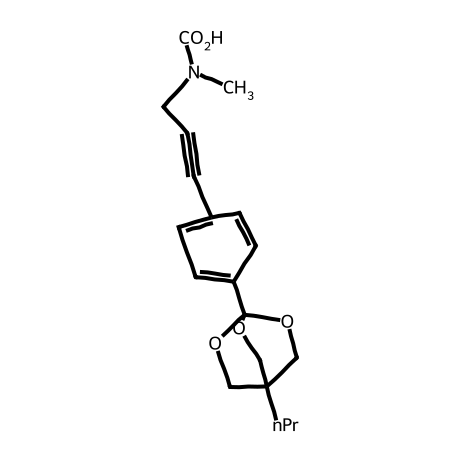 CCCC12COC(c3ccc(C#CCN(C)C(=O)O)cc3)(OC1)OC2